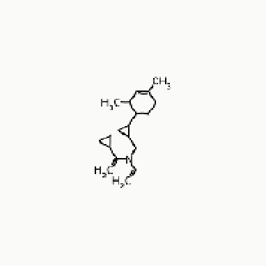 C=CN(CC1CC1C1CCC(C)=CC1C)C(=C)C1CC1